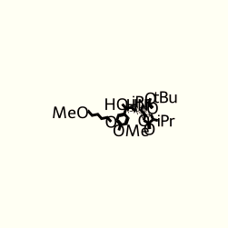 COCCCCCOc1cc(C(O)[C@@H](C[C@H](NC(=O)OC(C)(C)C)[C@@H]2CC(C(C)C)C(=O)O2)C(C)C)ccc1OC